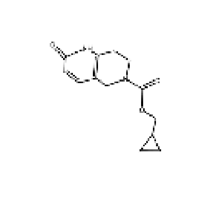 O=C(OCC1CC1)N1CCc2[nH]c(=O)ccc2C1